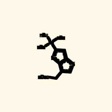 CCCCCCCCCCCc1csc2c[c]([Sn]([CH2]CCC)([CH2]CCC)[CH2]CCC)sc12